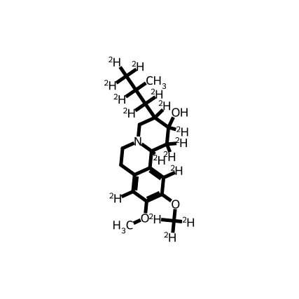 [2H]c1c2c(c([2H])c(OC([2H])([2H])[2H])c1OC)C1([2H])N(CC2)CC([2H])(C([2H])([2H])C([2H])(C)C([2H])([2H])[2H])C([2H])(O)C1([2H])[2H]